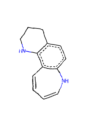 C1=CNc2ccc3c(c2C=C1)NCCC3